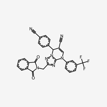 N#CC1=CN(c2cccc(C(F)(F)F)c2)c2nc(CN3C(=O)c4ccccc4C3=O)nn2C1c1ccc(C#N)cc1